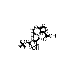 CC(C)(C)OC(=O)N[C@H](CO)CN1CCOc2csc(C(=O)O)c21